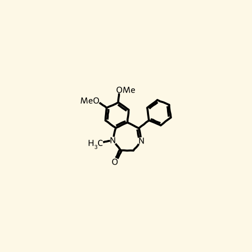 COc1cc2c(cc1OC)N(C)C(=O)CN=C2c1ccccc1